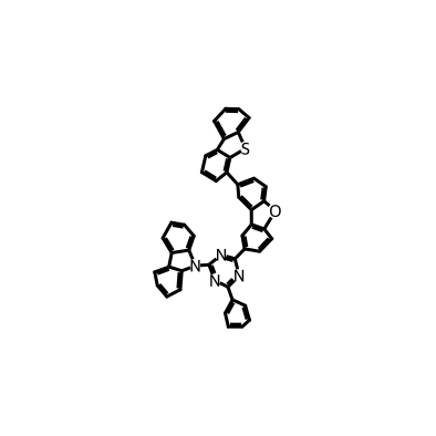 c1ccc(-c2nc(-c3ccc4oc5ccc(-c6cccc7c6sc6ccccc67)cc5c4c3)nc(-n3c4ccccc4c4ccccc43)n2)cc1